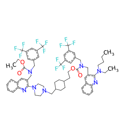 CCCCN(CC)c1nc2ccccc2cc1CN(Cc1cc(C(F)(F)F)cc(C(F)(F)F)c1)C(=O)OCCC1CCC(CN2CCN(c3nc4ccccc4cc3CN(Cc3cc(C(F)(F)F)cc(C(F)(F)F)c3)C(=O)OCC)CC2)CC1